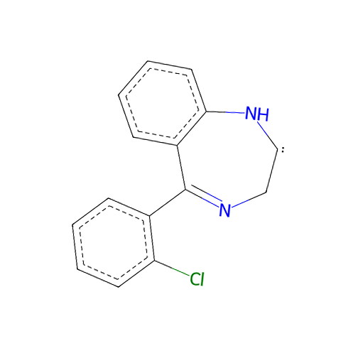 Clc1ccccc1C1=NC[C]Nc2ccccc21